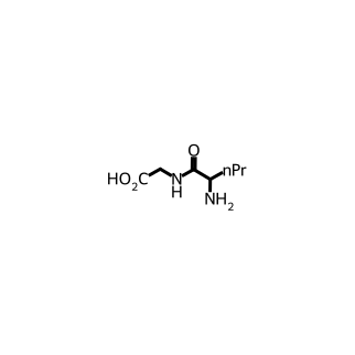 CCCC(N)C(=O)NCC(=O)O